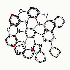 c1ccc(-c2nc(-c3ccccc3)nc(-c3c(-c4nc5ccccc5n4-c4ccccc4)c(N4c5ccccc5Oc5ccccc54)c(N4c5ccccc5Oc5ccccc54)c(N4c5ccccc5Oc5ccccc54)c3N3c4ccccc4Oc4ccccc43)n2)cc1